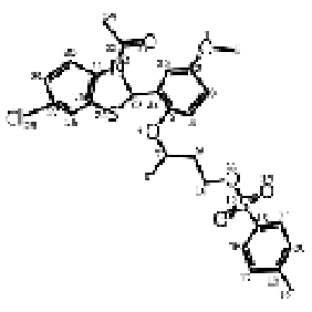 COc1ccc(OC(C)CCOS(=O)(=O)c2ccc(C)cc2)c(C2Sc3cc(Cl)ccc3N2C(C)=O)c1